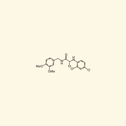 CCC(Nc1ccc(Cl)cc1Cl)C(=O)NCc1ccc(OC)c(OC)c1